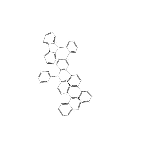 c1ccc(-c2ccc(-c3cc(-c4ccccc4-n4c5ccccc5c5ccccc54)ccc3N(c3ccccc3)c3ccc(-c4cccc5ccccc45)cc3)cc2)cc1